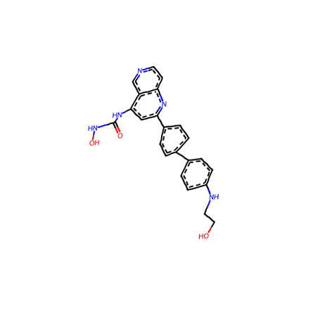 O=C(NO)Nc1cc(-c2ccc(-c3ccc(NCCO)cc3)cc2)nc2ccncc12